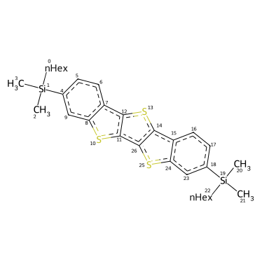 CCCCCC[Si](C)(C)c1ccc2c(c1)sc1c2sc2c3ccc([Si](C)(C)CCCCCC)cc3sc21